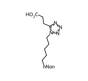 CCCCCCCCCCCCCCn1nnnc1CCC(=O)O